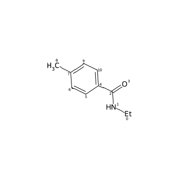 [CH2]CNC(=O)c1ccc(C)cc1